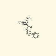 CN/C=C(\NNC)C(=O)Nc1ncc(N2CCOCC2)s1